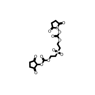 O=C(OCCS(=O)(=O)CCOC(=O)ON1C(=O)CCC1=O)OC1C(=O)CCC1=O